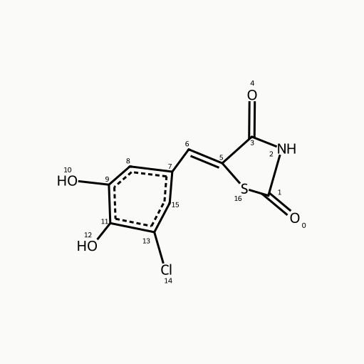 O=C1NC(=O)C(=Cc2cc(O)c(O)c(Cl)c2)S1